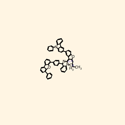 C\C=C/C=c1/oc2ccc(-c3ccc4c(c3)c3ccccc3n4-c3ccccc3)cc2/c1=C1\N=C(c2ccc(-c3cccc4c3oc3c(-c5ccccc5)cccc34)cc2)c2ccccc2N1C